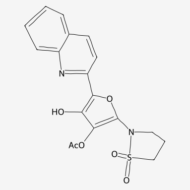 CC(=O)Oc1c(N2CCCS2(=O)=O)oc(-c2ccc3ccccc3n2)c1O